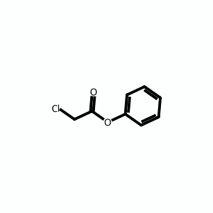 O=C(CCl)Oc1ccccc1